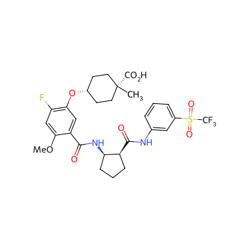 COc1cc(F)c(O[C@H]2CC[C@@](C)(C(=O)O)CC2)cc1C(=O)N[C@@H]1CCC[C@@H]1C(=O)Nc1cccc(S(=O)(=O)C(F)(F)F)c1